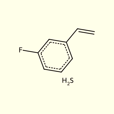 C=Cc1cccc(F)c1.S